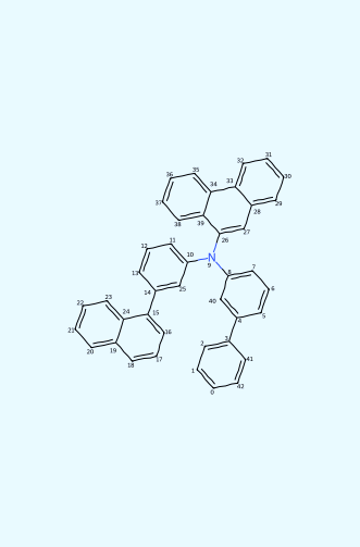 c1ccc(-c2cccc(N(c3cccc(-c4cccc5ccccc45)c3)c3cc4ccccc4c4ccccc34)c2)cc1